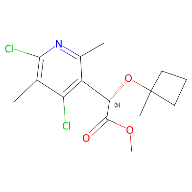 COC(=O)[C@@H](OC1(C)CCC1)c1c(C)nc(Cl)c(C)c1Cl